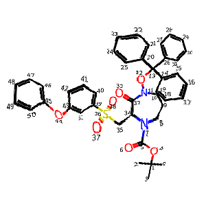 CC(C)(C)OC(=O)N1CCCN(OC(c2ccccc2)(c2ccccc2)c2ccccc2)C(=O)[C@@H]1CS(=O)(=O)c1cccc(Oc2ccccc2)c1